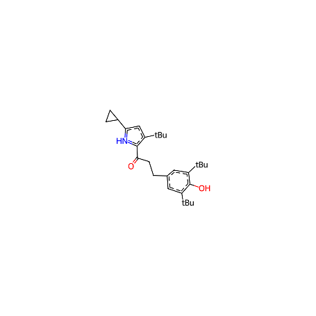 CC(C)(C)c1cc(C2CC2)[nH]c1C(=O)CCc1cc(C(C)(C)C)c(O)c(C(C)(C)C)c1